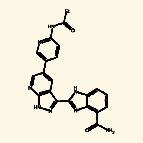 CCC(=O)Nc1ccc(-c2cnc3[nH]nc(-c4nc5c(C(N)=O)cccc5[nH]4)c3c2)cn1